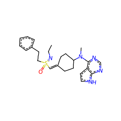 CCN=S(=O)(C=C1CCC(N(C)c2ncnc3[nH]ccc23)CC1)CCc1ccccc1